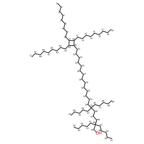 CCCCCCCCCC1C(CCCCCCCCC)C(CCCCCCCCCCCCCCC(CCCCC)(CCCCC)CCCC(CO)(CCCCC)CCCCC)C1CCCCCCCCC